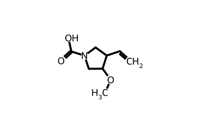 C=CC1CN(C(=O)O)CC1OC